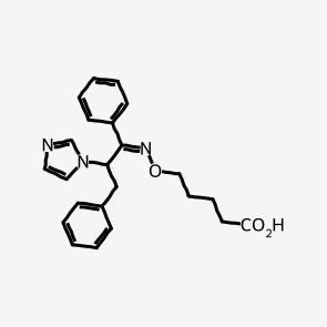 O=C(O)CCCCON=C(c1ccccc1)C(Cc1ccccc1)n1ccnc1